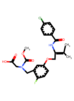 COC(=O)N(CC(=O)O)Cc1cc(OCC(NC(=O)c2ccc(Cl)cc2)=C(C)C)ccc1F